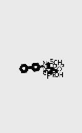 CSc1nc(-c2ccc(-c3ccccc3)cc2)n(C)c1C(O)(C(=O)O)C(F)(F)F